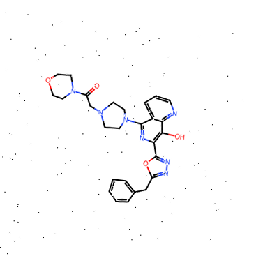 O=C(CN1CCN(c2nc(-c3nnc(Cc4ccccc4)o3)c(O)c3ncccc23)CC1)N1CCOCC1